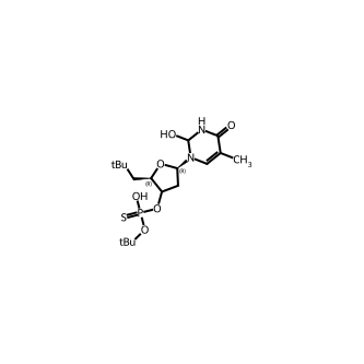 CC1=CN([C@H]2CC(OP(O)(=S)OC(C)(C)C)[C@@H](CC(C)(C)C)O2)C(O)NC1=O